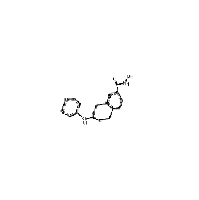 O=C(NO)c1ccc2c(c1)CC(Nc1ccncc1)CC2